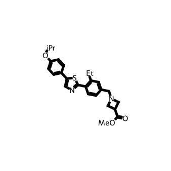 CCc1cc(CN2CC(C(=O)OC)C2)ccc1-c1ncc(-c2ccc(OC(C)C)cc2)s1